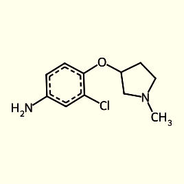 CN1CCC(Oc2ccc(N)cc2Cl)C1